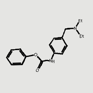 CCN(CC)Cc1ccc(NC(=O)Oc2ccccc2)cc1